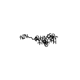 CCNS(=O)(=O)c1scc(Nc2n[s+]([O-])nc2N[C@@H](c2cc(CCCCN3CCN(C)CC3)co2)C(C)(C)C)c1O